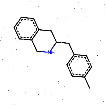 Cc1ccc(CC2Cc3ccccc3CN2)cc1